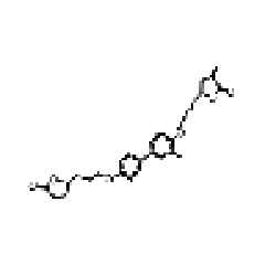 C=C1CC(CCCOc2ccc(-c3ccc(OCCCC4CCC(=O)O4)cc3)cc2C)OC1=O